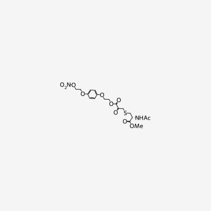 COC(=O)[C@H](CSCC(=O)C(=O)OCCOc1ccc(OCCO[N+](=O)[O-])cc1)NC(C)=O